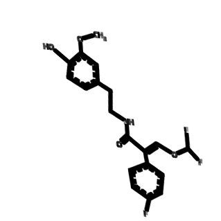 COc1cc(CCNC(=O)C(=COC(F)F)c2ccc(F)cc2)ccc1O